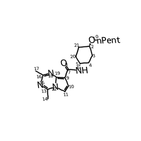 CCCCCO[C@H]1CC[C@H](NC(=O)c2ccn3c(C)nc(C)nc23)CC1